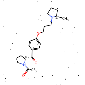 C[C@@H]1CCCN1CCCOc1ccc(C(=O)[C@H]2CCCN2C(=O)C(F)(F)F)cc1